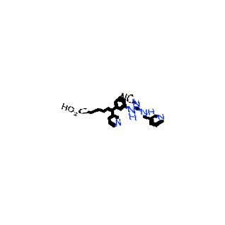 N#CN=C(NCc1cccnc1)Nc1cccc(C(=CCCCC(=O)O)c2cccnc2)c1